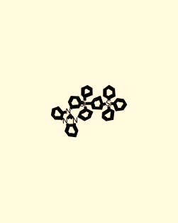 c1ccc([Si](c2ccccc2)(c2ccccc2)c2ccc([Si](c3ccccc3)(c3ccccc3)c3cccc(-n4c5ccccc5n5c6ccccc6nc45)c3)cc2)cc1